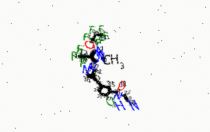 Cn1nc(OC(F)(F)C(F)C(F)(F)F)c(C(F)(F)F)c1-n1cc(-c2ccc(Cl)c(C(=O)NCC#N)c2)cn1